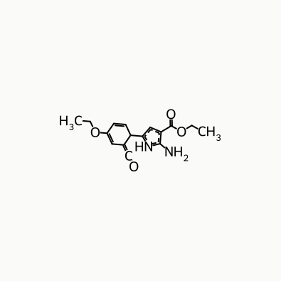 CCOC(=O)c1cc(C2C=CC(OCC)=CC2=C=O)[nH]c1N